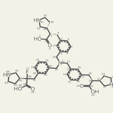 O=C(O)[C@@H](Cc1cccc(CN(Cc2cccc(C[C@H](C(=O)O)[C@H]3CCNC3)c2)Cc2cccc(CC(F)(C(=O)O)[C@H]3CCNC3)c2)c1)[C@H]1CCNC1